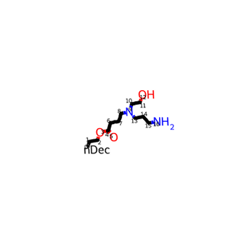 CCCCCCCCCCCCOC(=O)CCCN(CCO)CCCN